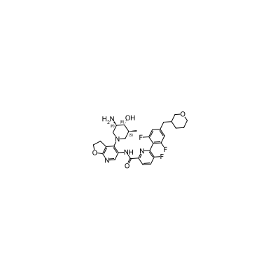 C[C@H]1CN(c2c(NC(=O)c3ccc(F)c(-c4c(F)cc(CC5CCCOC5)cc4F)n3)cnc3c2CCO3)C[C@@H](N)[C@@H]1O